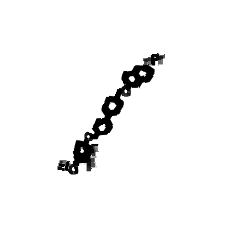 CCCC1CCC2CC(OCC3CCC(C4CCC(COc5ccc(OCC)c(F)c5F)CC4)CC3)CCC2C1